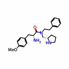 COc1ccc(C[C@@H](N)C(=O)N(CCc2ccccc2)C[C@@H]2CCCN2)cc1